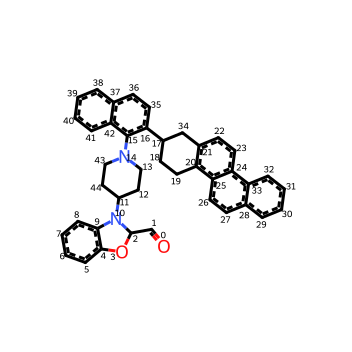 O=CC1Oc2ccccc2N1C1CCN(c2c(C3CCc4c(ccc5c4ccc4ccccc45)C3)ccc3ccccc23)CC1